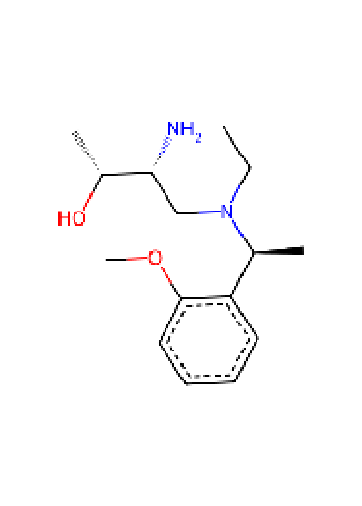 CCN(C[C@@H](N)[C@@H](C)O)[C@@H](C)c1ccccc1OC